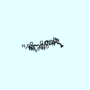 CN(C)C(=O)/C=C/CC[C@H](NC(=O)O)C(=O)Nc1cccn(Cc2nc3c(/C=C/C4CC4)ncnc3[nH]2)c1=O